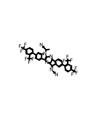 CC(C#N)n1c2cc(-c3ccc(C(F)(F)F)cc3C(F)(F)F)ccc2c2nc3c(nc21)-c1ccc(-c2ccc(C(F)(F)F)cc2C(F)(F)F)cc1/C3=N\C#N